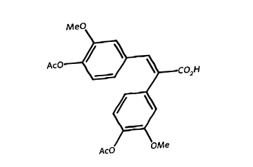 COc1cc(C=C(C(=O)O)c2ccc(OC(C)=O)c(OC)c2)ccc1OC(C)=O